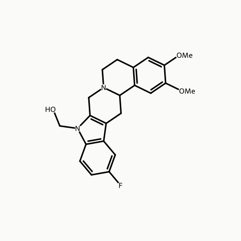 COc1cc2c(cc1OC)C1Cc3c(n(CO)c4ccc(F)cc34)CN1CC2